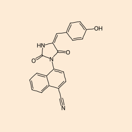 N#Cc1ccc(N2C(=O)NC(=Cc3ccc(O)cc3)C2=O)c2ccccc12